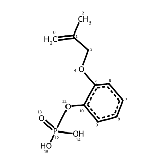 C=C(C)COc1ccccc1OP(=O)(O)O